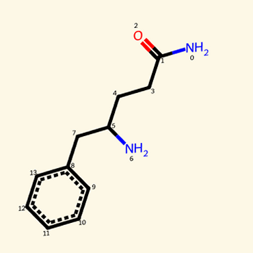 NC(=O)CCC(N)Cc1ccccc1